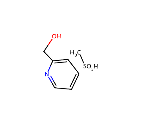 CS(=O)(=O)O.OCc1ccccn1